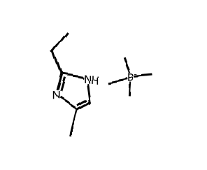 CCc1nc(C)c[nH]1.C[B-](C)(C)C